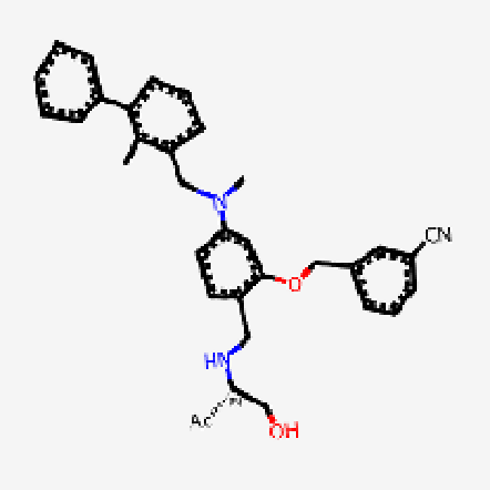 CC(=O)[C@@H](CO)NCc1ccc(N(C)Cc2cccc(-c3ccccc3)c2C)cc1OCc1cccc(C#N)c1